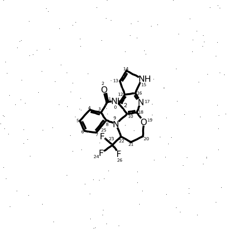 NC(=O)c1ccccc1N1c2cc3cc[nH]c3nc2OCCC1C(F)(F)F